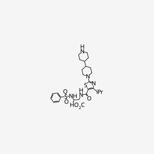 CC(C)c1nc(N2CCC(C3CCNCC3)CC2)sc1C(=O)NC[C@H](NS(=O)(=O)c1ccccc1)C(=O)O